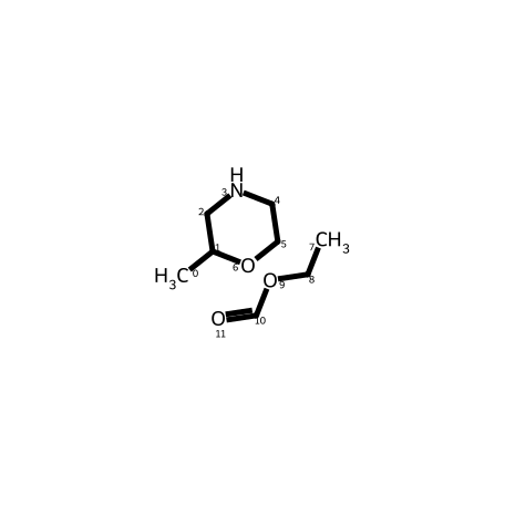 CC1CNCCO1.CCOC=O